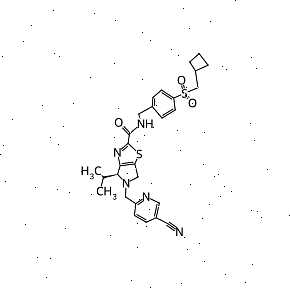 CC(C)[C@H]1c2nc(C(=O)NCc3ccc(S(=O)(=O)CC4CCC4)cc3)sc2CN1Cc1ccc(C#N)cn1